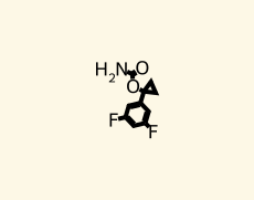 NC(=O)OC1(c2cc(F)cc(F)c2)CC1